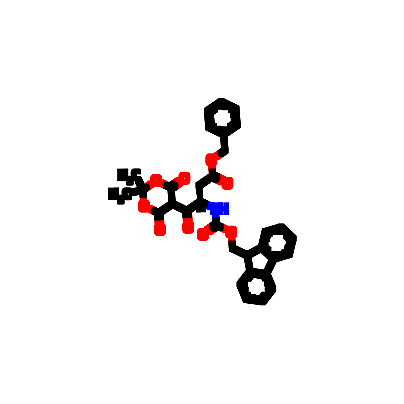 CC1(C)OC(=O)C(C(=O)[C@@H](CC(=O)OCc2ccccc2)NC(=O)OCC2c3ccccc3-c3ccccc32)C(=O)O1